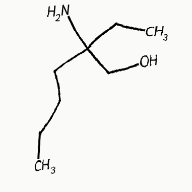 CCCCC(N)(CC)CO